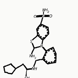 C[C@@H](CC1CCCC1)NCc1ccccc1N1c2ccc(S(N)(=O)=O)cc2SC1N